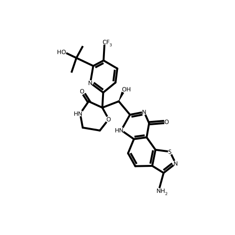 CC(C)(O)c1nc(C2([C@@H](O)c3nc(=O)c4c(ccc5c(N)nsc54)[nH]3)OCCNC2=O)ccc1C(F)(F)F